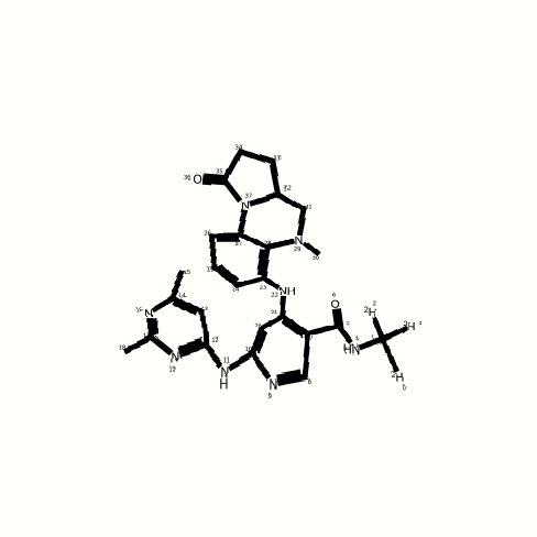 [2H]C([2H])([2H])NC(=O)c1cnc(Nc2cc(C)nc(C)n2)cc1Nc1cccc2c1N(C)CC1CCC(=O)N21